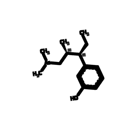 CC[C@@H](c1cccc(O)c1)[C@@H](C)C[As](C)C